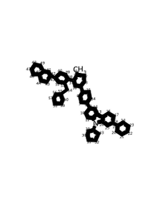 Cc1ccc(-c2ccc(-c3ccc4c(c3)c3ccc(-c5ccccc5)cc3n4-c3ccccc3)cc2)cc1-c1ccc(-c2ccc3ccccc3c2)cc1Cc1ccccc1